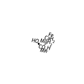 O=C(O)O.[CaH2].[Fe].[MgH2].[Mn]